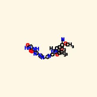 COc1cc(O[C@H]2C(C)(C)[C@H](NC(=O)c3ccc(N4CCC(CN5CCN(c6ccc(C(=O)NC7CCC(=O)NC7=O)nc6)CC5)CC4)cc3)C2(C)C)ccc1C#N